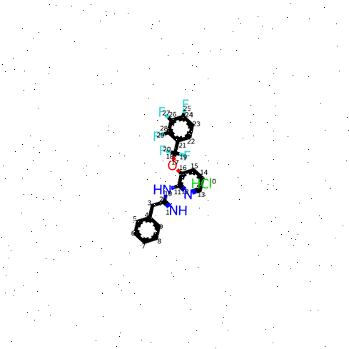 Cl.N=C(Cc1ccccc1)Nc1ncccc1OC(F)(F)c1ccc(F)c(F)c1F